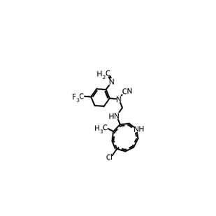 C=NC1=C(N(C#N)CNc2c[nH]cccc(Cl)cc2C)CCC(C(F)(F)F)=C1